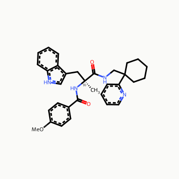 COc1ccc(C(=O)N[C@@](C)(Cc2c[nH]c3ccccc23)C(=O)NCC2(c3ccccn3)CCCCC2)cc1